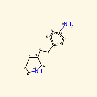 Nc1ccc(CCC2CCCNC2)cc1